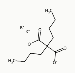 CCCCC(CCCC)(C(=O)[O-])C(=O)[O-].[K+].[K+]